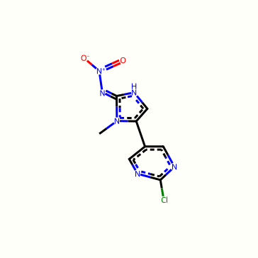 Cn1c(-c2cnc(Cl)nc2)c[nH]c1=N[N+](=O)[O-]